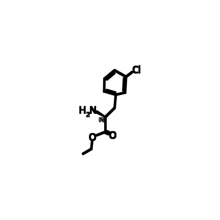 CCOC(=O)[C@@H](N)Cc1cccc(Cl)c1